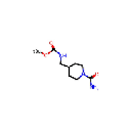 CC(C)(C)OC(=O)NCC1CCN(C(N)=O)CC1